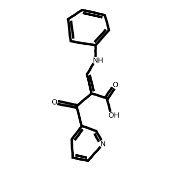 O=C(O)/C(=C\Nc1ccccc1)C(=O)c1cccnc1